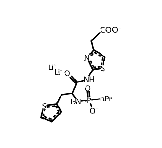 CCCP(=O)([O-])NC(Cc1cccs1)C(=O)Nc1nc(CC(=O)[O-])cs1.[Li+].[Li+]